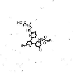 CCCS(=O)(=O)Nc1cc(Cl)cc(-c2nn(C(C)C)cc2-c2ccnc(NC[C@H](C)NC(=O)O)n2)c1